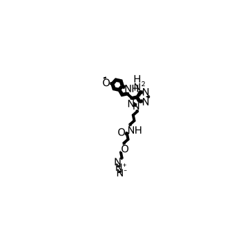 COc1ccc2[nH]c(-c3nn(CCCCNC(=O)CCOCCN=[N+]=[N-])c4ncnc(N)c34)cc2c1